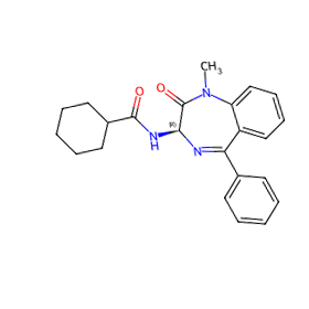 CN1C(=O)[C@H](NC(=O)C2CCCCC2)N=C(c2ccccc2)c2ccccc21